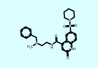 CN(CCNC(=O)c1cc(=O)[nH]c2ccc(S(=O)(=O)N3CCCCC3)cc12)Cc1ccccc1